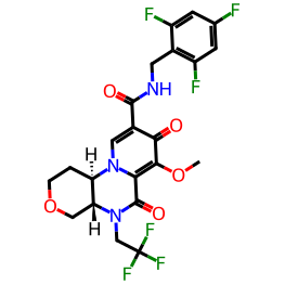 COc1c2n(cc(C(=O)NCc3c(F)cc(F)cc3F)c1=O)[C@@H]1CCOC[C@H]1N(CC(F)(F)F)C2=O